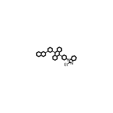 CCc1nc2ccccc2n1-c1ccc(-c2c3ccccc3c(-c3cccc(-c4ccc5ccccc5c4)c3)c3ccccc23)cc1